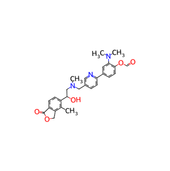 Cc1c(C(O)CN(C)Cc2ccc(-c3ccc(OC=O)c(N(C)C)c3)nc2)ccc2c1COC2=O